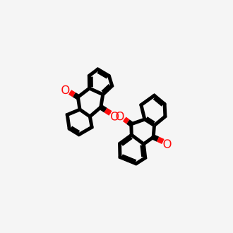 O=C1C2=C(CC=CC2)C(=O)c2ccccc21.O=C1c2ccccc2C(=O)C2CC=CCC12